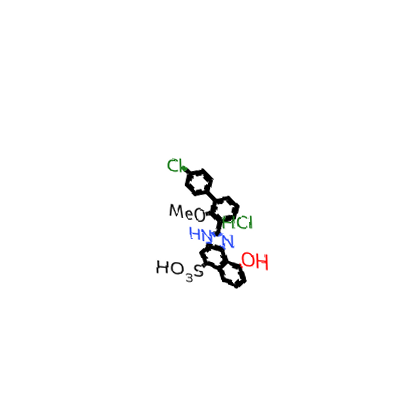 COc1c(-c2ccc(Cl)cc2)cccc1-c1nc2c(cc(S(=O)(=O)O)c3cccc(O)c32)[nH]1.Cl